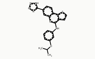 CC(C)Oc1cccc(Nc2nc3cc(-c4nnn[nH]4)ccc3c3sccc23)c1